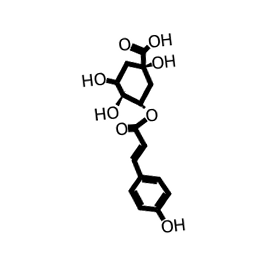 O=C(/C=C/c1ccc(O)cc1)O[C@H]1C[C@@](O)(C(=O)O)CC(O)[C@@H]1O